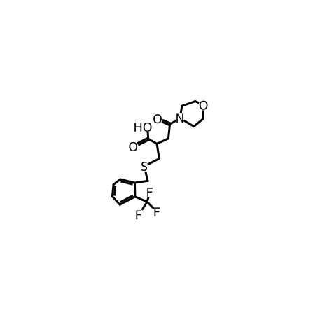 O=C(O)C(CSCc1ccccc1C(F)(F)F)CC(=O)N1CCOCC1